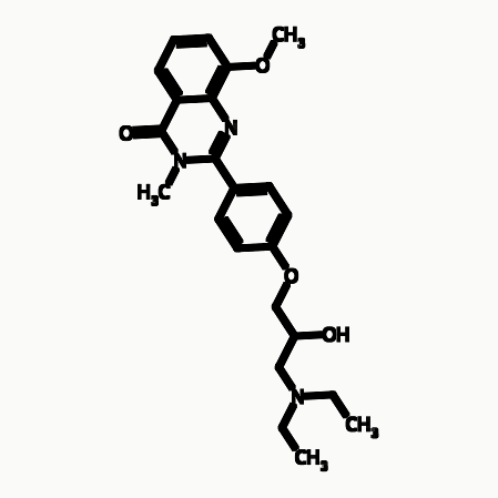 CCN(CC)CC(O)COc1ccc(-c2nc3c(OC)cccc3c(=O)n2C)cc1